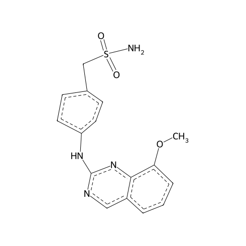 COc1cccc2cnc(Nc3ccc(CS(N)(=O)=O)cc3)nc12